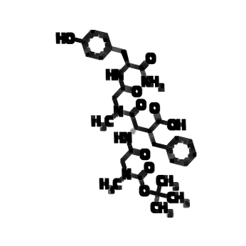 CN(CC(=O)N[C@H](C(=O)N(C)CC(=O)N[C@@H](Cc1ccc(O)cc1)C(N)=O)C(Cc1ccccc1)C(=O)O)C(=O)OC(C)(C)C